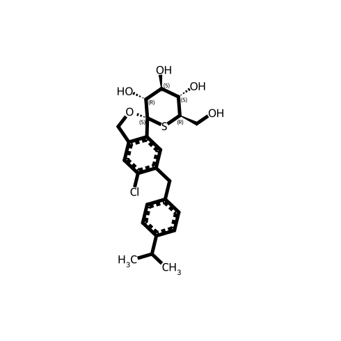 CC(C)c1ccc(Cc2cc3c(cc2Cl)CO[C@]32S[C@H](CO)[C@@H](O)[C@H](O)[C@H]2O)cc1